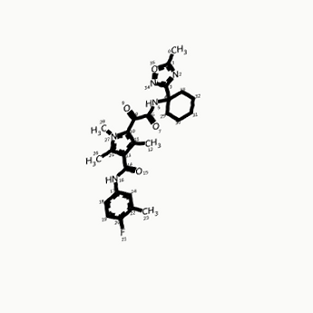 Cc1nc(C2(NC(=O)C(=O)c3c(C)c(C(=O)Nc4ccc(F)c(C)c4)c(C)n3C)CCCCC2)no1